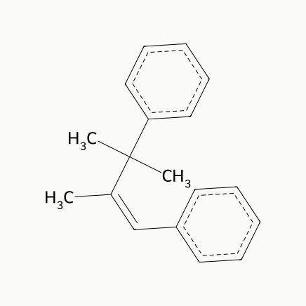 CC(=Cc1ccccc1)C(C)(C)c1ccccc1